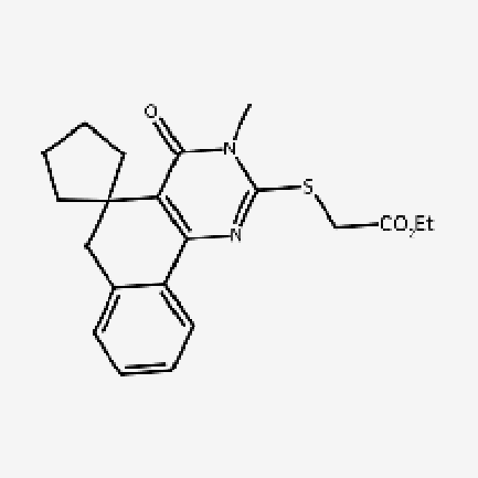 CCOC(=O)CSc1nc2c(c(=O)n1C)C1(CCCC1)Cc1ccccc1-2